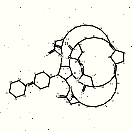 O=C1CC2CCCCCC/C3=C4\CC/C(=C5/CCCCCCC6CC(=O)N(C6=O)C6C(C7CCC(=C8CCCCC8)CC7)C(C(C6N6C(=O)CC(CC5)C6=O)N5C(=O)CC(CCC3)C5=O)N1C2=O)C4